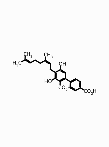 CC(C)=CCCC(C)=CCc1c(O)cc(-c2ccc(C(=O)O)cc2)c(C(=O)O)c1O